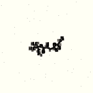 CC(C)(C)OC(=O)NCc1nnc(C#N)o1